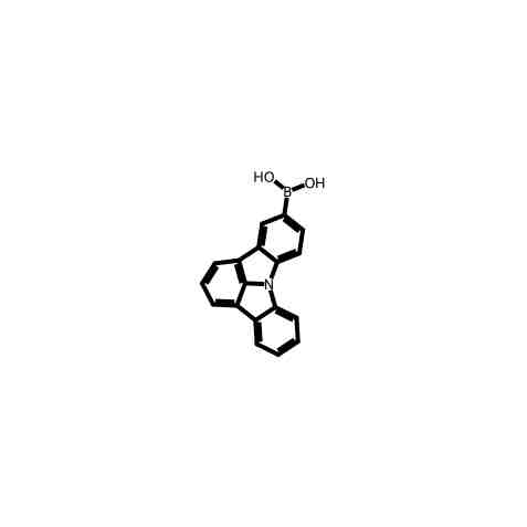 OB(O)c1ccc2c(c1)c1cccc3c4ccccc4n2c31